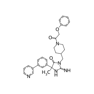 CC1(c2cccc(-c3cccnc3)c2)NC(=N)N(CC2CCN(C(=O)COc3ccccc3)CC2)C1=O